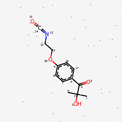 CC(C)(O)C(=O)c1ccc(OCCN=C=O)cc1